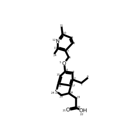 CCc1cc(OCc2ccc(C)nc2C)cc2c1C(CC(=O)O)CS2